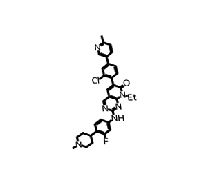 CCn1c(=O)c(-c2ccc(-c3ccc(C)nc3)cc2Cl)cc2cnc(Nc3ccc(C4CCN(C)CC4)c(F)c3)nc21